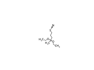 CCO[Si](C)(CCCSC#N)OCC